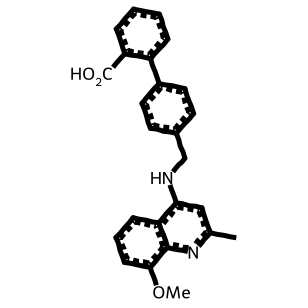 COc1cccc2c(NCc3ccc(-c4ccccc4C(=O)O)cc3)cc(C)nc12